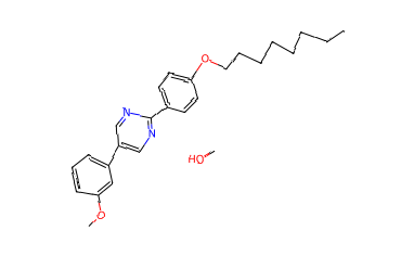 CCCCCCCCOc1ccc(-c2ncc(-c3cccc(OC)c3)cn2)cc1.CO